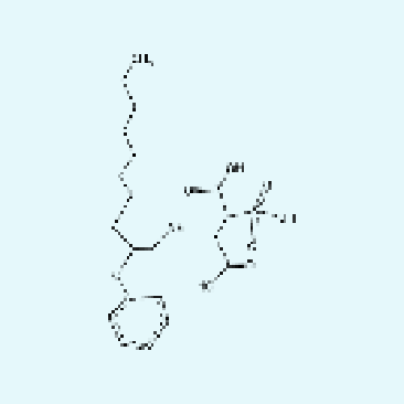 CCCCCCCCC([CH2][Na])Oc1ccccc1.O=C(O)CC(C(=O)O)S(=O)(=O)O